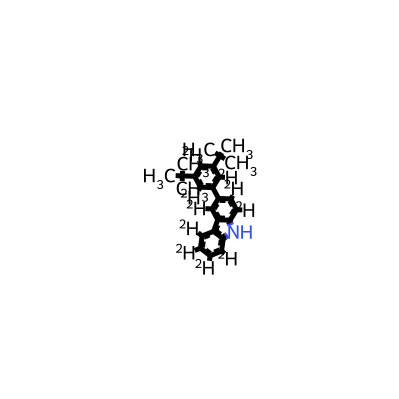 [2H]c1c(-c2c([2H])c([2H])c3[nH]c4c([2H])c([2H])c([2H])c([2H])c4c3c2[2H])c([2H])c(C(C)(C)C)c([2H])c1C(C)(C)C